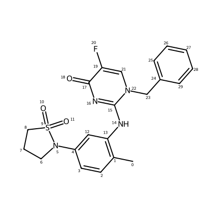 Cc1ccc(N2CCCS2(=O)=O)cc1Nc1nc(=O)c(F)cn1Cc1ccccc1